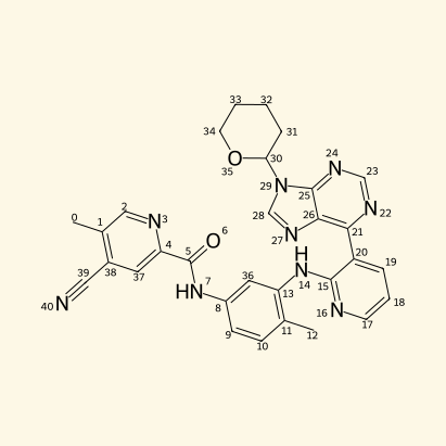 Cc1cnc(C(=O)Nc2ccc(C)c(Nc3ncccc3-c3ncnc4c3ncn4C3CCCCO3)c2)cc1C#N